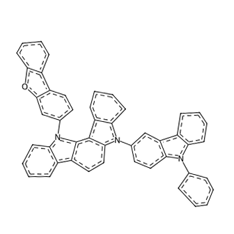 c1ccc(-n2c3ccccc3c3cc(-n4c5ccccc5c5c4ccc4c6ccccc6n(-c6ccc7c(c6)oc6ccccc67)c45)ccc32)cc1